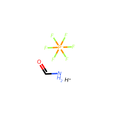 F[P-](F)(F)(F)(F)F.NC=O.[H+]